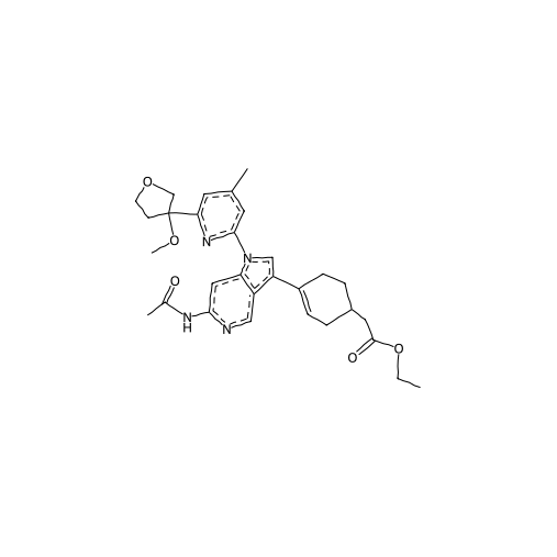 CCOC(=O)CC1CC=C(c2cn(-c3cc(C)cc(C4(OC)CCOC4)n3)c3cc(NC(C)=O)ncc23)CC1